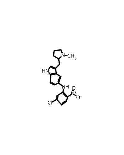 CN1CCCC1Cc1c[nH]c2ccc(Nc3cc(Cl)ccc3[N+](=O)[O-])cc12